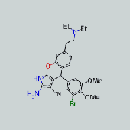 CCN(CC)CCc1ccc2c(c1)Oc1[nH]c(N)c(C#N)c1C2c1cc(Br)c(OC)c(OC)c1